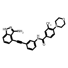 Nc1n[nH]c2cccc(C#Cc3cccc(NC(=O)c4ccc(N5CCOCC5)c(C(F)(F)F)c4)c3)c12